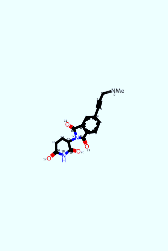 CNCC#Cc1ccc2c(c1)C(=O)N(C1CCC(=O)NC1=O)C2=O